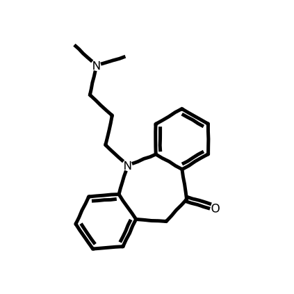 CN(C)CCCN1c2ccccc2CC(=O)c2ccccc21